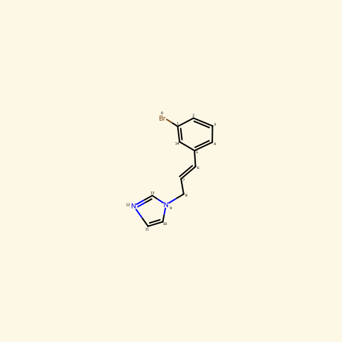 Brc1cccc(C=CCn2ccnc2)c1